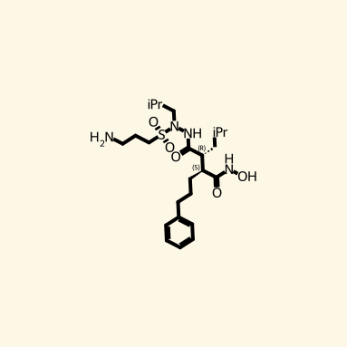 CC(C)C[C@@H](C(=O)NN(CC(C)C)S(=O)(=O)CCCN)[C@H](CCCc1ccccc1)C(=O)NO